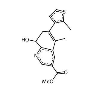 COC(=O)c1cnc2c(c1)C(C)=C(c1ccsc1C)CC2O